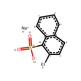 CCc1ccc2ccccc2c1S(=O)(=O)[O-].[Na+]